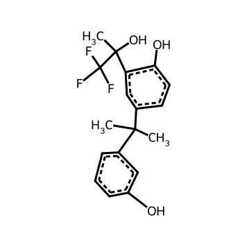 CC(C)(c1cccc(O)c1)c1ccc(O)c(C(C)(O)C(F)(F)F)c1